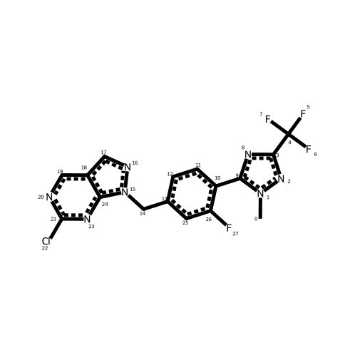 Cn1nc(C(F)(F)F)nc1-c1ccc(Cn2ncc3cnc(Cl)nc32)cc1F